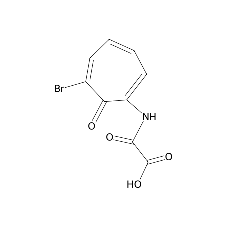 O=C(O)C(=O)Nc1ccccc(Br)c1=O